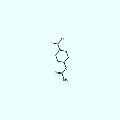 CC(N1CCC(OC(N)=O)CC1)C(F)(F)F